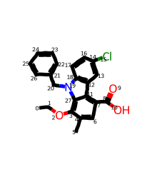 CCOc1c(C)cc(C(=O)O)c2c3cc(Cl)ccc3n(Cc3ccccc3)c12